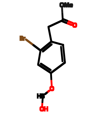 COC(=O)Cc1ccc(OBO)cc1Br